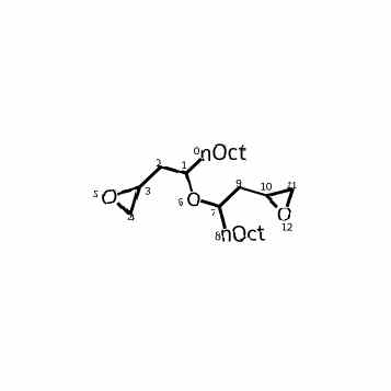 CCCCCCCCC(CC1CO1)OC(CCCCCCCC)CC1CO1